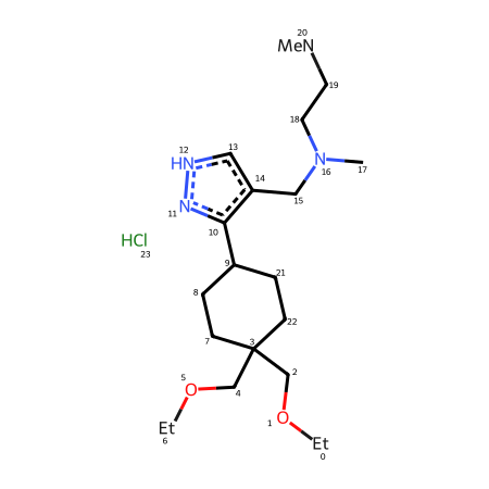 CCOCC1(COCC)CCC(c2n[nH]cc2CN(C)CCNC)CC1.Cl